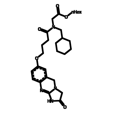 CCCCCCOC(=O)CN(CC1CCCCC1)C(=O)CCCOc1ccc2c(c1)CN1CC(=O)NC1=N2